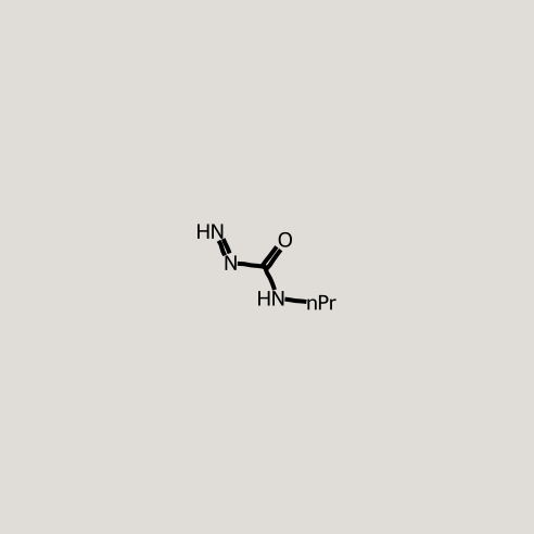 CCCNC(=O)N=N